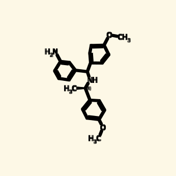 COc1ccc(C(N[C@H](C)c2ccc(OC)cc2)c2cccc(N)c2)cc1